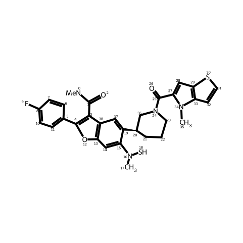 CNC(=O)c1c(-c2ccc(F)cc2)oc2cc(N(C)S)c([C@@H]3CCCN(C(=O)c4cc5sccc5n4C)C3)cc12